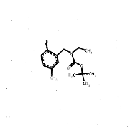 CCN(Cc1cc(C)ccc1Br)C(=O)OC(C)(C)C